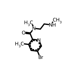 CNCCN(C)C(=O)c1ncc(Br)cc1C